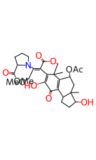 COCC(=C1C(=O)OCC2(C)C1=C(O)C(=O)C1=C2C(OC(C)=O)CC2(C)C(O)CCC12)N1CCCC1C(=O)OC